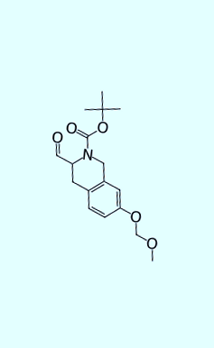 COCOc1ccc2c(c1)CN(C(=O)OC(C)(C)C)C(C=O)C2